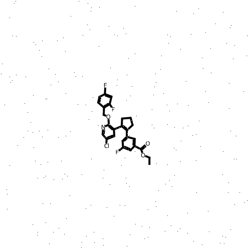 CCOC(=O)c1cc(F)cc(C2=C(c3cc(Cl)cnc3OCc3ccc(F)cc3F)CCC2)c1